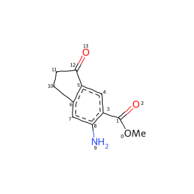 COC(=O)c1cc2c(cc1N)CCC2=O